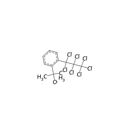 CC(C)([O])c1ccccc1C(Cl)(Cl)C(Cl)(Cl)C(Cl)(Cl)Cl